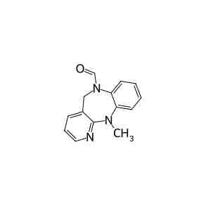 CN1c2ccccc2N(C=O)Cc2cccnc21